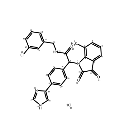 Cc1cccc2c1N(C(C(=O)NCc1cccc(Cl)c1)c1ccc(-c3c[nH]cn3)cc1)C(=O)C2=O.Cl